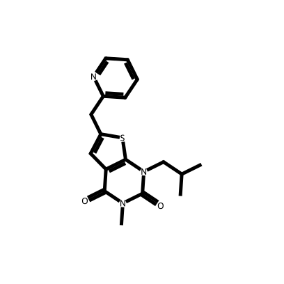 CC(C)Cn1c(=O)n(C)c(=O)c2cc(Cc3ccccn3)sc21